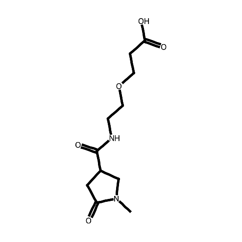 CN1CC(C(=O)NCCOCCC(=O)O)CC1=O